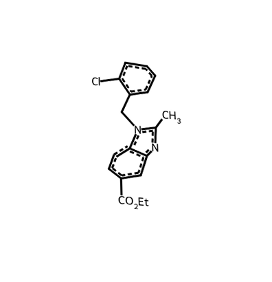 CCOC(=O)c1ccc2c(c1)nc(C)n2Cc1ccccc1Cl